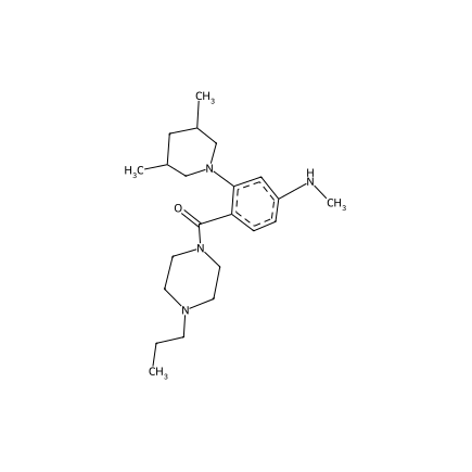 CCCN1CCN(C(=O)c2ccc(NC)cc2N2CC(C)CC(C)C2)CC1